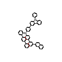 c1ccc(-c2ccc(-c3ccccc3N(c3ccc(-c4cccc(-c5ccc6ccccc6c5)c4)cc3)c3ccc(-c4ccc5c(c4)c4ccccc4n5-c4ccccc4)cc3)cc2)cc1